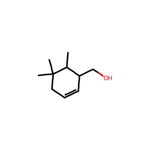 CC1C(CO)C=CCC1(C)C